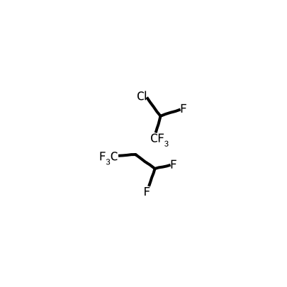 FC(Cl)C(F)(F)F.FC(F)CC(F)(F)F